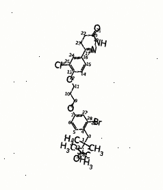 CC(C)(Cc1ccc(OCCCOc2ccc(C3=NNC(=O)CC3)cc2Cl)cc1Br)[Si](C)(C)O